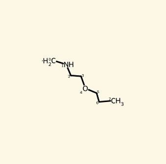 [CH2]NCCOCCC